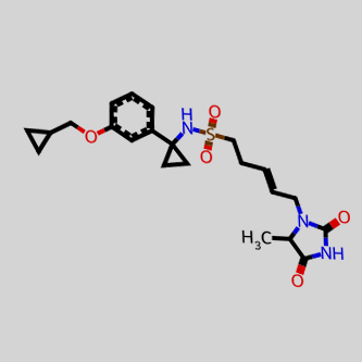 CC1C(=O)NC(=O)N1C/C=C/CCS(=O)(=O)NC1(c2cccc(OCC3CC3)c2)CC1